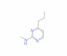 CCCc1ccnc(NC)n1